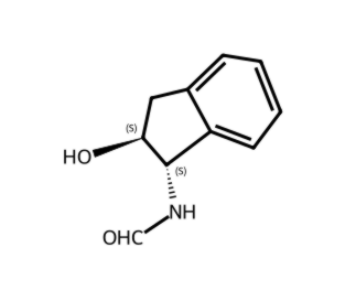 O=CN[C@H]1c2ccccc2C[C@@H]1O